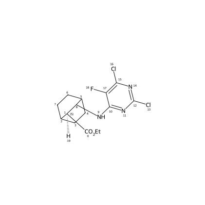 CCOC(=O)[C@H]1C2CCC(CC2)C1Nc1nc(Cl)nc(Cl)c1F